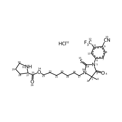 CC1(C)C(=O)N(c2ccc(C#N)c(C(F)(F)F)c2)C(=S)N1CCCCCCCOC(=O)C1CCCN1.Cl